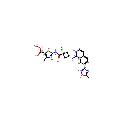 Cc1nc(-c2ccc3ccnc(N[C@H]4C[C@](F)(C(=O)Nc5nc(C)c(C(=O)OC(C)(C)C)s5)C4)c3c2)no1